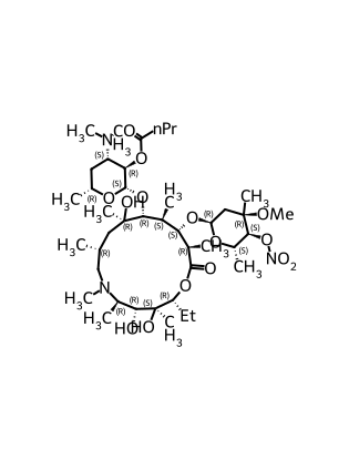 CCCC(=O)O[C@H]1[C@H](O[C@@H]2[C@@H](C)[C@H](O[C@H]3C[C@@](C)(OC)[C@@H](O[N+](=O)[O-])[C@H](C)O3)[C@@H](C)C(=O)O[C@H](CC)[C@@](C)(O)[C@H](O)[C@@H](C)N(C)C[C@H](C)C[C@@]2(C)O)O[C@H](C)C[C@@H]1N(C)C